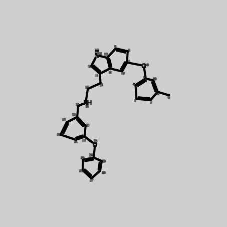 Cc1cccc(Oc2ccc3[nH]cc(CCNCc4cccc(Oc5ccccc5)c4)c3c2)c1